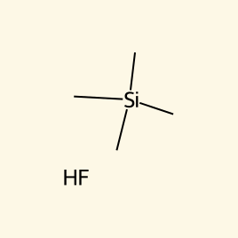 C[Si](C)(C)C.F